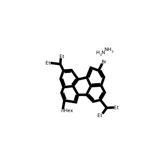 CCCCCCc1cc2cc(C(CC)CC)cc3c4cc(Br)cc5cc(C(CC)CC)cc(c(c1)c23)c54.N.N